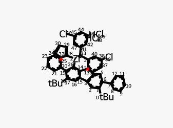 CC(C)(C)c1cc2c(cc1-c1ccccc1)Cc1c-2cc(C(C)(C)C)c(-c2ccccc2)[c]1[Zr]([C]1=CC=CC1)=[C](c1cccc(Cl)c1)c1cccc(Cl)c1.Cl.Cl